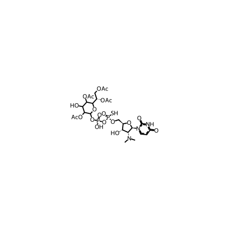 CC(=O)OC[C@H](OC(C)=O)C1OC(OP(=O)(O)OP(=O)(S)OC[C@H]2O[C@@H](n3ccc(=O)[nH]c3=O)[C@H](N(C)C)[C@@H]2O)C(OC(C)=O)C(O)C1OC(C)=O